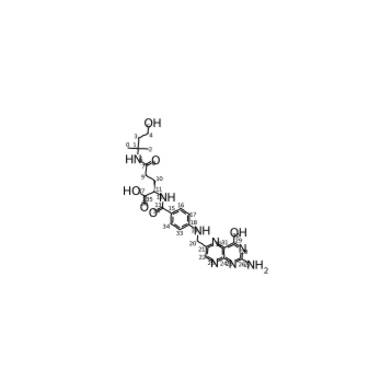 CC(C)(CCO)NC(=O)CC[C@@H](NC(=O)c1ccc(NCc2cnc3nc(N)nc(O)c3n2)cc1)C(=O)O